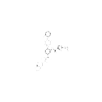 Cc1ccccc1N1CCN(c2ccc(C(=O)NCCCN3CCCC3=O)cc2NC(=O)c2coc(C3CC3)n2)CC1